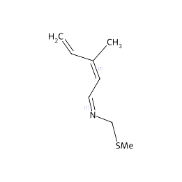 C=C/C(C)=C\C=N/CSC